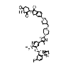 Cc1nc(N2CCN(CC3CCN(c4ccc5c(c4)CN(C4CCC(=O)NC4=O)C5=O)CC3)CC2)sc1-c1cnc(N)c(O[C@@H](C)c2cc(F)ccc2-n2nccn2)c1